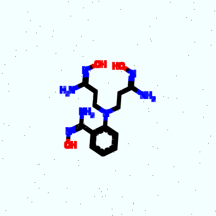 N/C(CCN(CC/C(N)=N\O)c1ccccc1/C(N)=N\O)=N/O